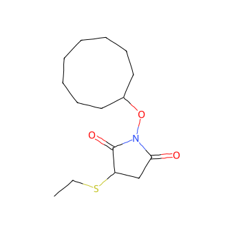 CCSC1CC(=O)N(OC2CCCCCCCC2)C1=O